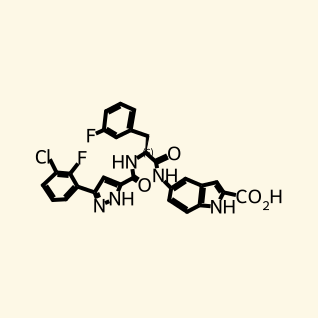 O=C(O)c1cc2cc(NC(=O)[C@H](Cc3cccc(F)c3)NC(=O)c3cc(-c4cccc(Cl)c4F)n[nH]3)ccc2[nH]1